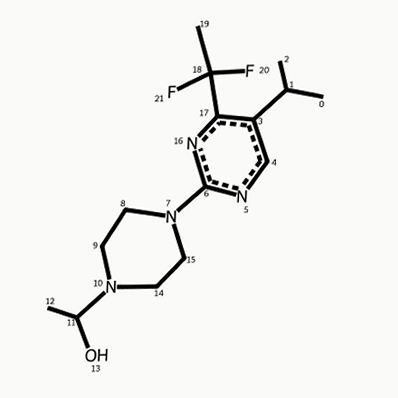 CC(C)c1cnc(N2CCN(C(C)O)CC2)nc1C(C)(F)F